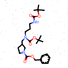 CC(C)(C)OC(=O)NCCCN(CC1CCN(C(=O)OCc2ccccc2)C1)C(=O)OC(C)(C)C